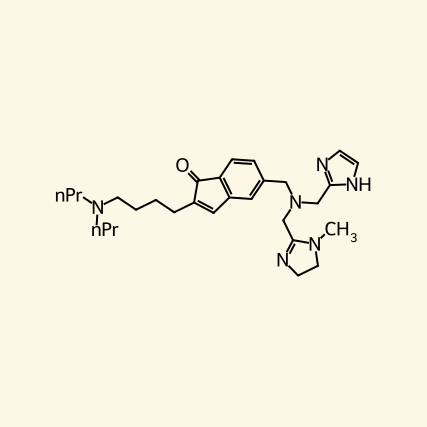 CCCN(CCC)CCCCC1=Cc2cc(CN(CC3=NCCN3C)Cc3ncc[nH]3)ccc2C1=O